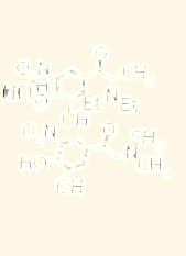 CCN(CC)C(C)C(=O)c1cc(O)c(O)c([N+](=O)[O-])c1.CN(C)CC(=O)c1cc(O)c(O)c([N+](=O)[O-])c1.Cl.Cl